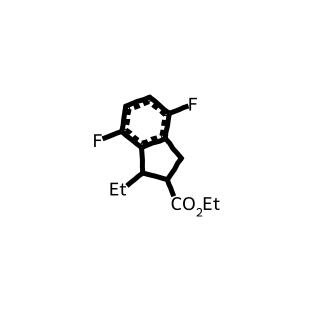 CCOC(=O)C1Cc2c(F)ccc(F)c2C1CC